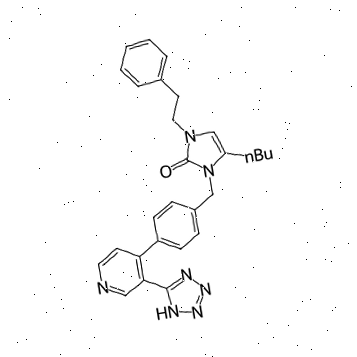 CCCCc1cn(CCc2ccccc2)c(=O)n1Cc1ccc(-c2ccncc2-c2nnn[nH]2)cc1